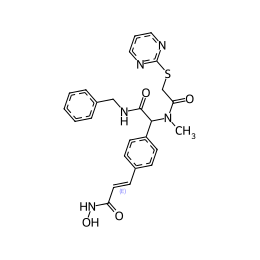 CN(C(=O)CSc1ncccn1)C(C(=O)NCc1ccccc1)c1ccc(/C=C/C(=O)NO)cc1